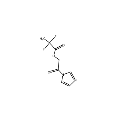 CC(F)(F)C(=O)OCC(=O)n1ccnc1